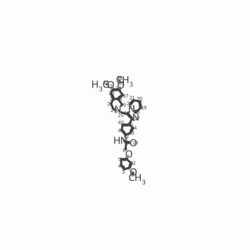 COc1cccc(OCC(=O)Nc2ccc(-c3nc4ccccn4c3CN3CCc4cc(OC)c(OC)cc4C3)cc2)c1